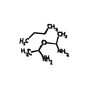 CC(N)OC(C)N.CCCC